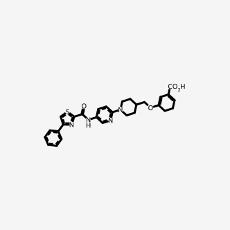 O=C(O)C1=CCCC(OCC2CCN(c3ccc(NC(=O)c4nc(-c5ccccc5)cs4)cn3)CC2)=C1